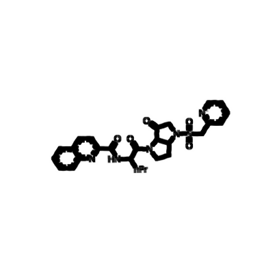 CCCC(NC(=O)c1ccc2ccccc2n1)C(=O)N1CCC2C1C(=O)CN2S(=O)(=O)Cc1ccccn1